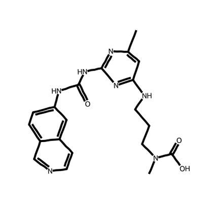 Cc1cc(NCCCN(C)C(=O)O)nc(NC(=O)Nc2ccc3cnccc3c2)n1